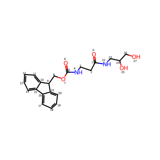 O=C(CCNC(=O)OCC1c2ccccc2-c2ccccc21)NCC(O)CO